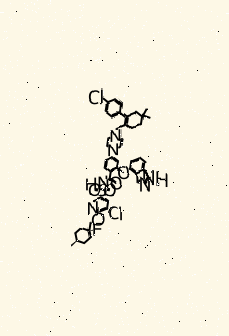 CC1(C)CCC(CN2CCN(c3ccc(C(=O)NS(=O)(=O)c4cnc(OC[C@]5(F)CC[C@H](C)CC5)c(Cl)c4)c(Oc4cccc5[nH]ncc45)c3)CC2)=C(c2ccc(Cl)cc2)C1